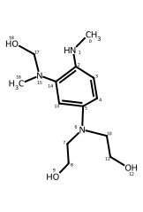 CNc1ccc(N(CCO)CCO)cc1N(C)CO